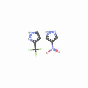 FC(F)(F)c1cc[nH]n1.O=[N+]([O-])c1cn[nH]c1